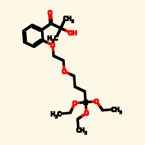 CCO[Si](CCCOCCOc1ccccc1C(=O)C(C)(C)O)(OCC)OCC